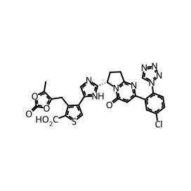 Cc1oc(=O)oc1Cc1c(-c2cnc([C@@H]3CCc4nc(-c5cc(Cl)ccc5-n5cnnn5)cc(=O)n43)[nH]2)csc1C(=O)O